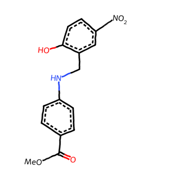 COC(=O)c1ccc(NCc2cc([N+](=O)[O-])ccc2O)cc1